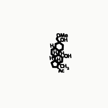 COC[C@@]1(O)CC[C@H]2[C@H](CC[C@@H]3[C@@H]2[C@H](O)C[C@]2(C)[C@@H](C(C)=O)CC[C@@H]32)C1